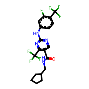 O=C(NCC1CCCC1)c1cnc(Nc2ccc(C(F)(F)F)c(F)c2)nc1C(F)(F)F